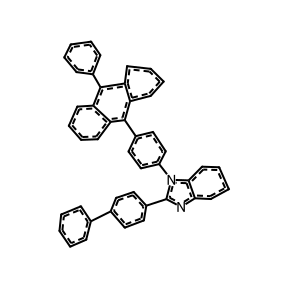 c1ccc(-c2ccc(-c3nc4ccccc4n3-c3ccc(-c4c5ccccc5c(-c5ccccc5)c5ccccc45)cc3)cc2)cc1